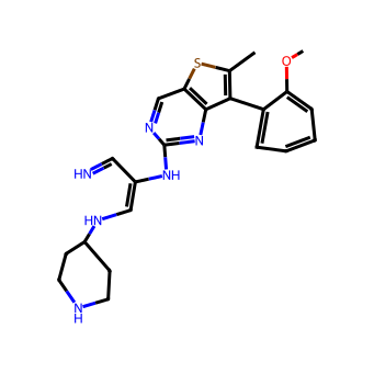 COc1ccccc1-c1c(C)sc2cnc(N/C(C=N)=C/NC3CCNCC3)nc12